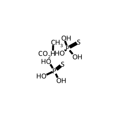 CC(=O)O.OP(O)(O)=S.OP(O)(O)=S